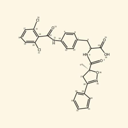 C[C@@]1(C(=O)NC(Cc2ccc(NC(=O)c3c(Cl)cccc3Cl)cc2)C(=O)O)CC(c2ccccc2)=NO1